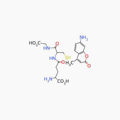 Cc1cc(=O)oc2cc(N)ccc12.NC(CCC(=O)NC(CS)C(=O)NCC(=O)O)C(=O)O